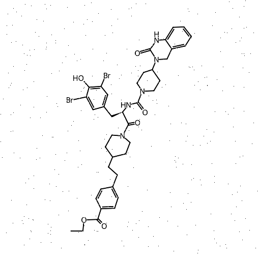 CCOC(=O)c1ccc(CCC2CCN(C(=O)[C@@H](Cc3cc(Br)c(O)c(Br)c3)NC(=O)N3CCC(N4Cc5ccccc5NC4=O)CC3)CC2)cc1